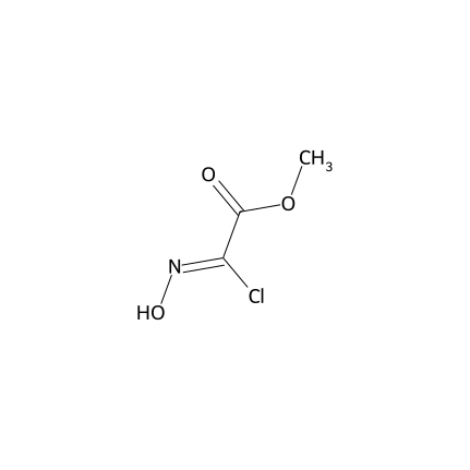 COC(=O)C(Cl)=NO